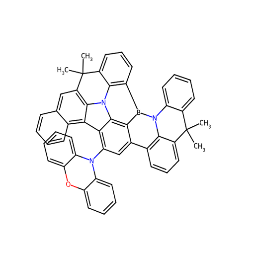 CC1(C)c2ccccc2N2B3c4cccc5c4-n4c6c3c(cc(N3c7ccccc7Oc7ccccc73)c6c3c6ccccc6cc(c34)C5(C)C)-c3cccc1c32